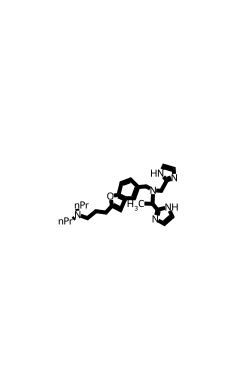 CCCN(CCC)CCCc1cc2cc(CN(Cc3ncc[nH]3)C(C)c3ncc[nH]3)ccc2o1